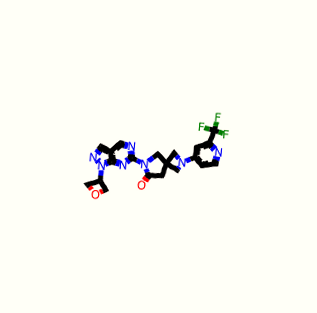 O=C1CC2(CN(c3ccnc(C(F)(F)F)c3)C2)CN1c1ncc2cnn(C3COC3)c2n1